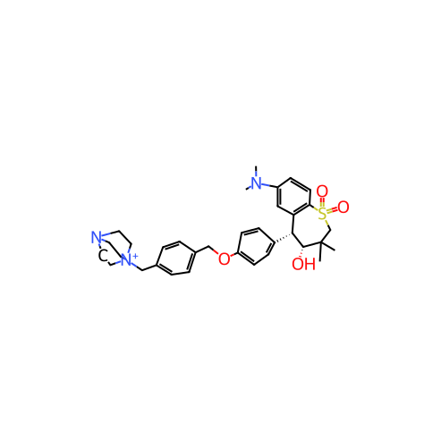 CN(C)c1ccc2c(c1)[C@@H](c1ccc(OCc3ccc(C[N+]45CCN(CC4)CC5)cc3)cc1)[C@@H](O)C(C)(C)CS2(=O)=O